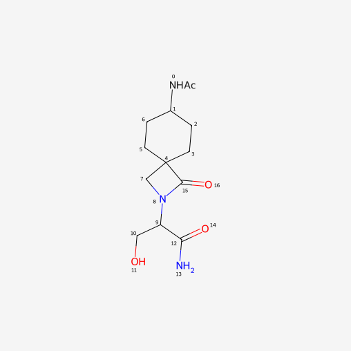 CC(=O)NC1CCC2(CC1)CN(C(CO)C(N)=O)C2=O